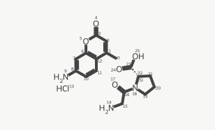 Cc1cc(=O)oc2cc(N)ccc12.Cl.NCC(=O)N1CCC[C@H]1C(=O)O